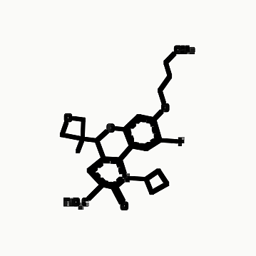 CCOC(=O)c1cc2c(n(C3CCC3)c1=O)-c1cc(F)c(OCCCOC)cc1OC2C1(C)COC1